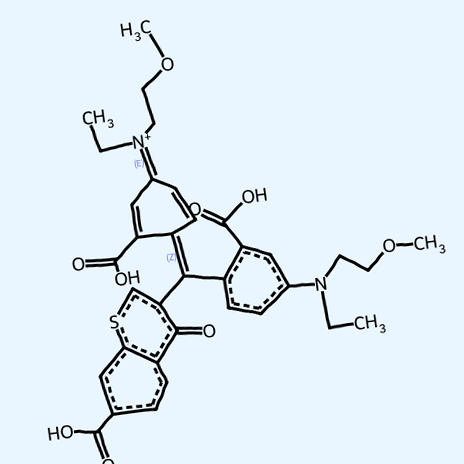 CCN(CCOC)c1ccc(/C(=C2C=C/C(=[N+](/CC)CCOC)C=C\2C(=O)O)c2csc3cc(C(=O)O)ccc3c2=O)c(C(=O)O)c1